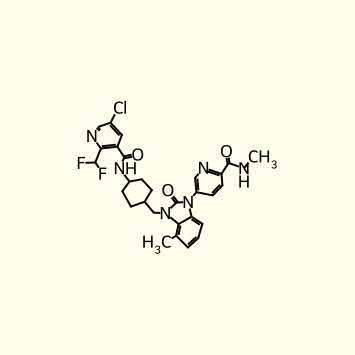 CNC(=O)c1ccc(-n2c(=O)n(CC3CCC(NC(=O)c4cc(Cl)cnc4C(F)F)CC3)c3c(C)cccc32)cn1